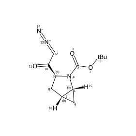 CC(C)(C)OC(=O)N1[C@@H]2C[C@@H]2C[C@H]1C(=O)C=[N+]=[N-]